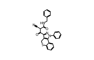 N#CC(C(=O)NCc1ccccc1)C(=O)c1nn(-c2ccccc2)c2c1CSc1ccccc1-2